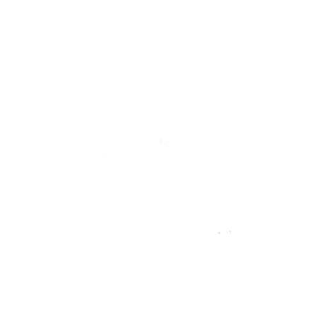 C#C[Si](C)(C)CCCCCCCCCC